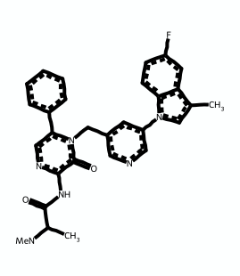 CNC(C)C(=O)Nc1ncc(-c2ccccc2)n(Cc2cncc(-n3cc(C)c4cc(F)ccc43)c2)c1=O